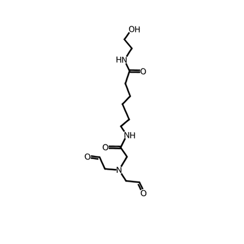 O=CCN(CC=O)CC(=O)NCCCCCC(=O)NCCO